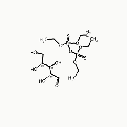 CCOP(=S)(OCC)OP(=S)(OCC)OCC.O=C[C@H](O)[C@H](O)[C@H](O)CO